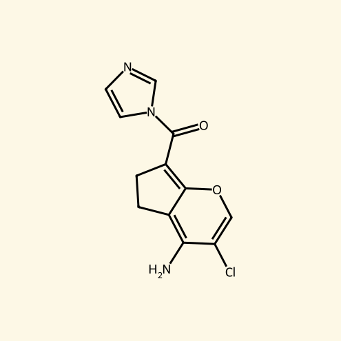 NC1=C2CCC(C(=O)n3ccnc3)=C2OC=C1Cl